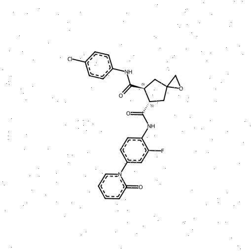 O=C(Nc1ccc(Cl)cc1)[C@H]1CC2(CO2)C[C@@H]1C(=O)Nc1ccc(-n2ccccc2=O)cc1F